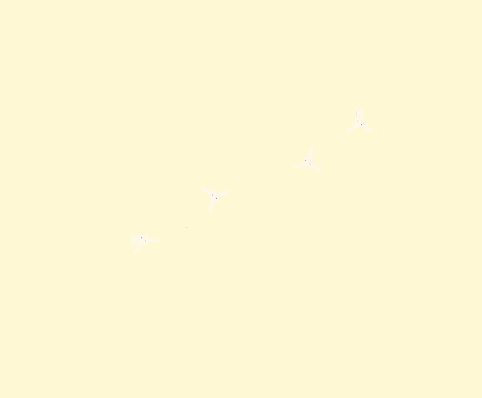 COC(=O)NC[C@H]1CN(c2cc(F)c(N3CC4NC(=O)OC4C3)c(F)c2)C(=O)O1